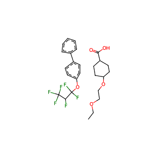 CCOCCOC1CCC(C(=O)O)CC1.FC(C(F)(F)F)C(F)(F)Oc1ccc(-c2ccccc2)cc1